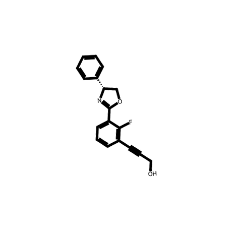 OCC#Cc1cccc(C2=N[C@H](c3ccccc3)CO2)c1F